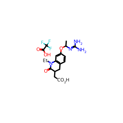 CCN1C(=O)C(CC(=O)O)Cc2ccc(OC(C)N=C(N)N)cc21.O=C(O)C(F)(F)F